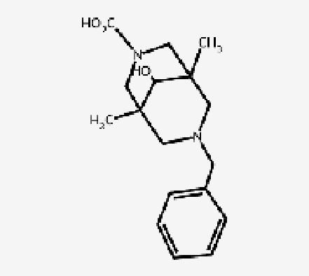 CC12CN(Cc3ccccc3)CC(C)(CN(C(=O)O)C1)C2O